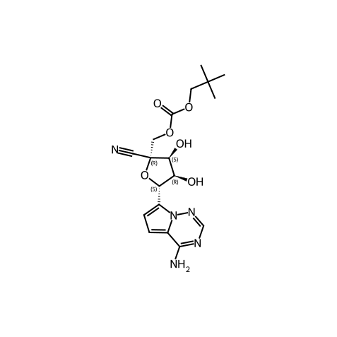 CC(C)(C)COC(=O)OC[C@@]1(C#N)O[C@@H](c2ccc3c(N)ncnn23)[C@H](O)[C@@H]1O